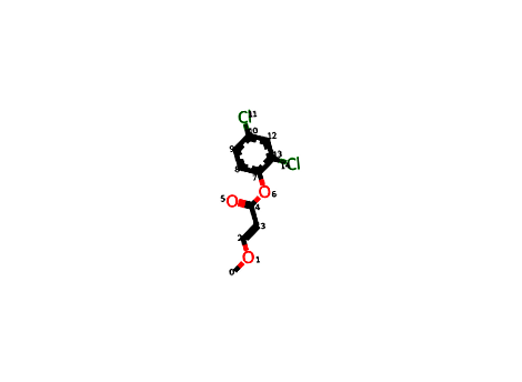 COC=CC(=O)Oc1ccc(Cl)cc1Cl